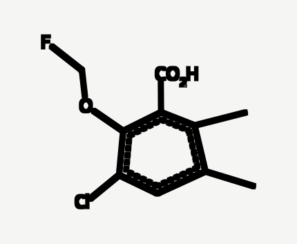 Cc1cc(Cl)c(OCF)c(C(=O)O)c1C